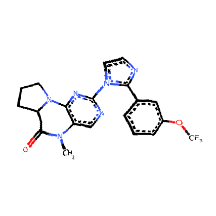 CN1C(=O)C2CCCN2c2nc(-n3ccnc3-c3cccc(OC(F)(F)F)c3)ncc21